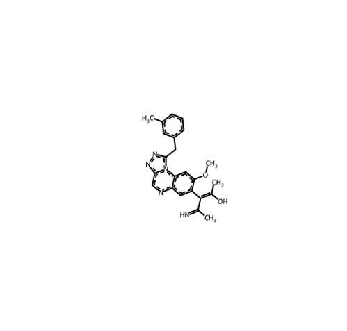 COc1cc2c(cc1/C(C(C)=N)=C(\C)O)ncc1nnc(Cc3cccc(C)c3)n12